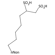 CCCCCCCCCCCCCCC(CS(=O)(=O)O)S(=O)(=O)O